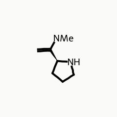 C=C(NC)[C@@H]1CCCN1